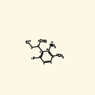 Cc1ccc(F)c(C(C=O)CCl)c1N